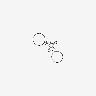 BC1(CC2=C(C)C(=O)N(CC3(C)CCCCCCCCCCC3)C2=O)CCCCCCCCCCCC1